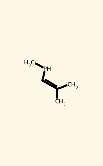 CPC=C(C)C